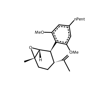 C=C(C)[C@@H]1CC[C@]2(C)O[C@@H]2[C@H]1c1c(OC)cc(CCCCC)cc1OC